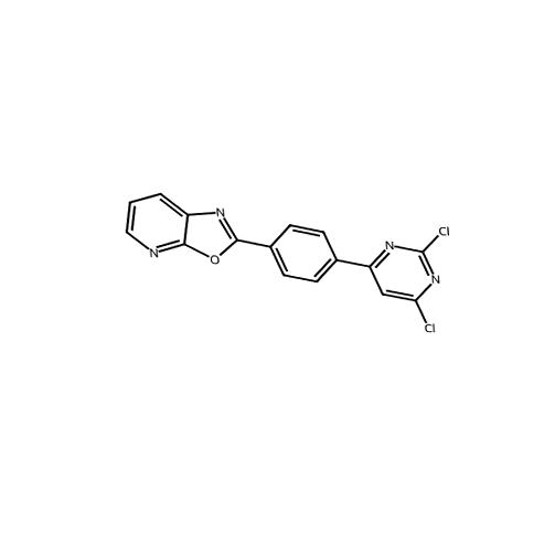 Clc1cc(-c2ccc(-c3nc4cccnc4o3)cc2)nc(Cl)n1